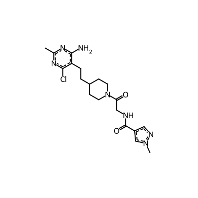 Cc1nc(N)c(CCC2CCN(C(=O)CNC(=O)c3cnn(C)c3)CC2)c(Cl)n1